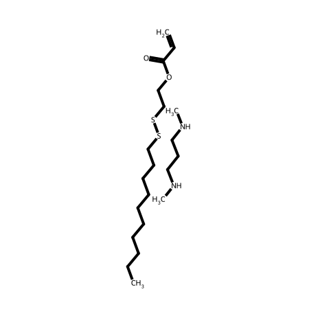 C=CC(=O)OCCSSCCCCCCCCCC.CNCCCNC